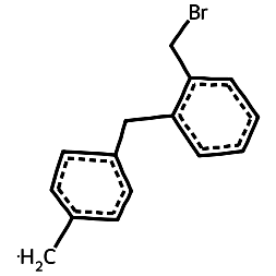 [CH2]c1ccc(Cc2ccccc2CBr)cc1